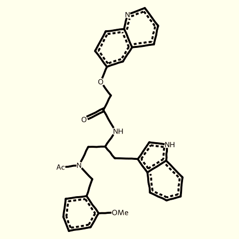 COc1ccccc1CN(CC(Cc1c[nH]c2ccccc12)NC(=O)COc1ccc2ncccc2c1)C(C)=O